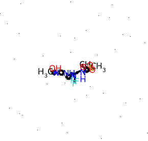 COc1cc(S(C)(=O)=O)ccc1NCC#Cc1cc2c(NC3CCC(N4CCC(C)(O)C4)CC3)cccc2n1CC(F)(F)F